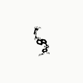 CC(C)Oc1ccc(-c2nc(-c3cccc4c3CCC[C@H]4NC(=O)N3CC(C(=O)O)C3)no2)cc1C#N